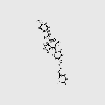 C=C=C(c1ccc(OCCCN2CCCCC2)cc1)c1sccc1C(=O)NCc1ccc(Cl)cc1